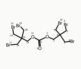 O=C(OCC(CBr)(CBr)CBr)OCC(CBr)(CBr)CBr